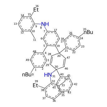 CCCCc1ccc(-c2cc(Nc3c(C)cccc3CC)ccc2C2(c3ccc(CCCC)cc3)C=CC(Nc3c(C)cccc3CC)(c3ccccc3)C=C2)cc1